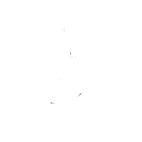 CCC[C@@]12CCC[C@@](c3ccccc3)(CC(CCC(=O)N[C@@H]3CCNC[C@H]3O)C1)C2